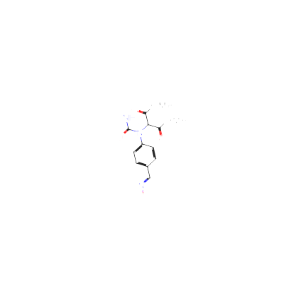 COC(=O)C(C(=O)OC)N(C(N)=O)c1ccc(C=NO)cc1